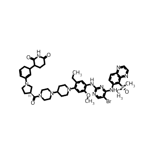 CCc1cc(Nc2ncc(Br)c(Nc3ccc4nccnc4c3P(C)(C)=O)n2)c(OC)cc1N1CCC(N2CCN(C(=O)[C@H]3CCN(C4=CC(C5CCC(=O)NC5=O)CC=C4)C3)CC2)CC1